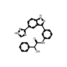 O=C(Nc1cccc(-c2n[nH]c3ccc(-c4nc[nH]n4)cc23)c1)C(O)c1ccccc1